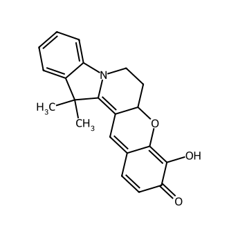 CC1(C)C2=C3C=C4C=CC(=O)C(O)=C4OC3CCN2c2ccccc21